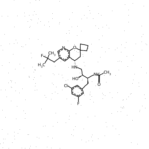 CC(=O)N[C@@H](Cc1cc(F)cc(Cl)c1)[C@@H](O)CN[C@H]1CC2(CCC2)Oc2ncc(CC(C)(C)F)cc21